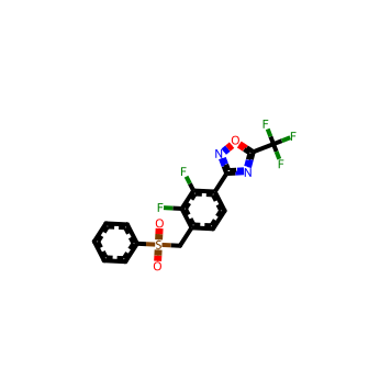 O=S(=O)(Cc1ccc(-c2noc(C(F)(F)F)n2)c(F)c1F)c1ccccc1